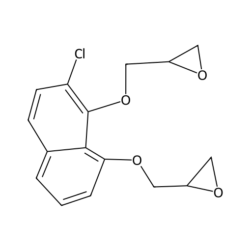 Clc1ccc2cccc(OCC3CO3)c2c1OCC1CO1